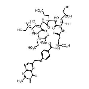 CNC(=O)[C@H](CCC(=O)O)NC(=O)[C@H](NC(=O)[C@H](CCC(=O)O)NC(=O)[C@H](NC(=O)CC[C@H](NC(=O)c1ccc(NCc2cnc3nc(N)[nH]c(=O)c3n2)cc1)C(=O)O)[C@@H](O)[C@H](O)[C@H](O)CO)[C@@H](O)[C@H](O)[C@H](O)CO